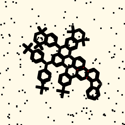 CC(C)(C)c1ccc(N(c2ccc(C(C)(C)C)cc2)c2cc3c4c(c2)N(c2ccc(C(C)(C)C)cc2-c2ccccc2)c2cc(-c5ccc6sc7ccccc7c6c5)ccc2B4c2cc4c(cc2N3c2ccc3c(c2)C(C)(C)CCC3(C)C)C(C)(C)CCC4(C)C)cc1